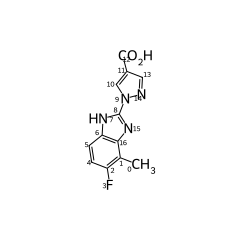 Cc1c(F)ccc2[nH]c(-n3cc(C(=O)O)cn3)nc12